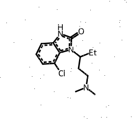 CCC(CCN(C)C)n1c(=O)[nH]c2cccc(Cl)c21